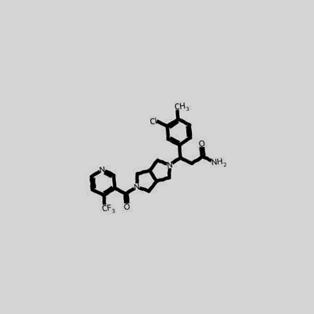 Cc1ccc(C(CC(N)=O)N2CC3CN(C(=O)c4cnccc4C(F)(F)F)CC3C2)cc1Cl